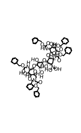 O=C(N[C@H]1[C@@H](O[C@H]2[C@@H](O)[C@H](O[C@@H]3[C@@H](O)[C@H](N(O)O)C[C@H](NC(=O)OCc4ccccc4)[C@H]3O[C@H]3O[C@@H]4COC(c5ccccc5)O[C@H]4[C@H](O)[C@H]3NC(=O)OCc3ccccc3)O[C@@H]2CO)O[C@H]2CN(C(=O)OCc3ccccc3)C(c3ccccc3)O[C@H]2[C@@H]1O)OCc1ccccc1